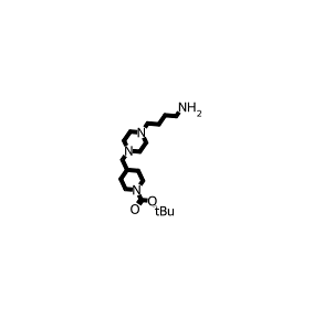 CC(C)(C)OC(=O)N1CCC(CN2CCN(CCCCN)CC2)CC1